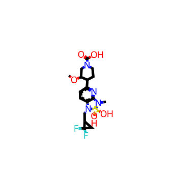 COC1CN(C(=O)O)CCC1c1ccc2c(n1)N(C)S(O)(O)N2CC1CC1(F)F